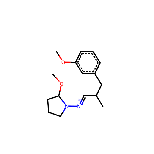 COc1cccc(CC(C)/C=N/N2CCCC2OC)c1